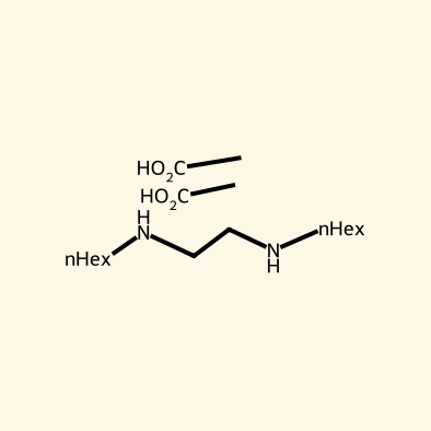 CC(=O)O.CC(=O)O.CCCCCCNCCNCCCCCC